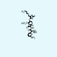 Cc1nc(CSCCN)c(SC2=C(C(=O)O)N3C(=O)[C@@H](NC(=O)C(NO)c4cccc(N)n4)[C@@H]3SC2)s1